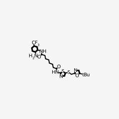 CC(C)(C)c1cnc(CSc2cnc(NC(=O)CCCCCCC(=O)Nc3cc(C(F)(F)F)ccc3N)s2)o1